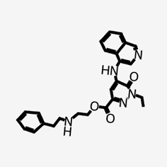 CCn1nc(C(=O)OCCNCCc2ccccc2)cc(Nc2cncc3ccccc23)c1=O